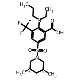 CCCN(CC)c1c(C(=O)O)cc(S(=O)(=O)N2C[C@H](C)C[C@H](C)C2)cc1C(F)(F)F